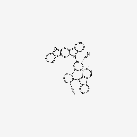 Cc1cc(-c2cccc(C#N)c2-n2c3ccccc3c3ccccc32)cc(-n2c3ccccc3c3cc4oc5ccccc5c4cc32)c1C#N